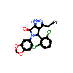 CC(C)Cc1n[nH]c2c1C(c1c(Cl)cccc1Cl)N(c1ccc3c(c1)OCO3)C2=O